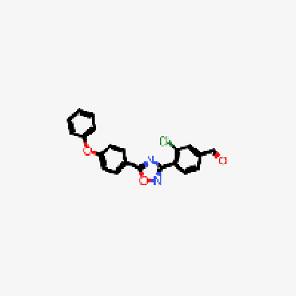 O=Cc1ccc(-c2noc(-c3ccc(Oc4ccccc4)cc3)n2)c(Cl)c1